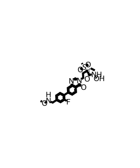 CC[C@@](CCn1cnc2cc(-c3ccc(CNOC)cc3F)ccc2c1=O)(C(=O)NO)S(C)(=O)=O